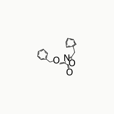 O=C1OC(Cc2ccccc2)=NC1=COCc1ccccc1